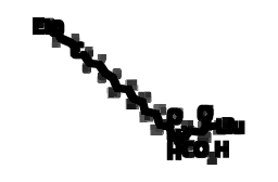 CCOCCCCCCCCCCCCCCCC(=O)N[C@@H](CCC(=O)C(C)(C)C)C(=O)O